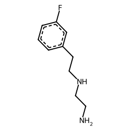 NCCNCCc1cccc(F)c1